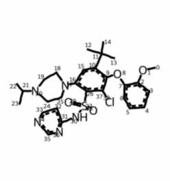 COc1ccccc1Oc1c(C(C)(C)C)cc(N2CCN(C(C)C)CC2)c(S(=O)(=O)Nc2ccncn2)c1Cl